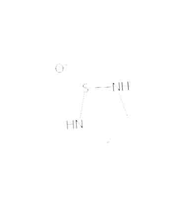 [O-][S+]1NCCN1